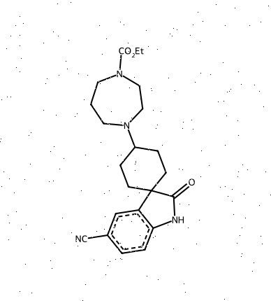 CCOC(=O)N1CCCN(C2CCC3(CC2)C(=O)Nc2ccc(C#N)cc23)CC1